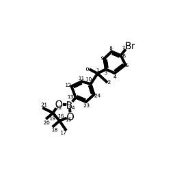 CC(C)(c1ccc(Br)cc1)c1ccc(B2OC(C)(C)C(C)(C)O2)cc1